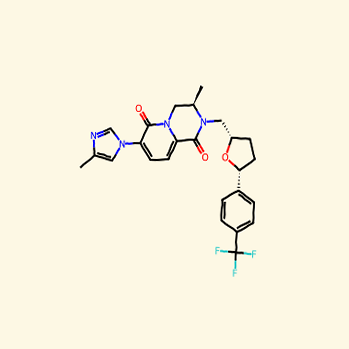 Cc1cn(-c2ccc3n(c2=O)C[C@@H](C)N(C[C@@H]2CC[C@H](c4ccc(C(F)(F)F)cc4)O2)C3=O)cn1